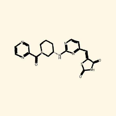 O=C1NC(=O)C(=Cc2ccnc(N[C@H]3CCCN(C(=O)c4cnccn4)C3)n2)S1